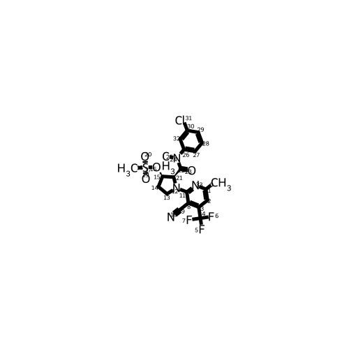 Cc1cc(C(F)(F)F)c(C#N)c(N2CC[C@H](OS(C)(=O)=O)[C@H]2C(=O)N(C)c2cccc(Cl)c2)n1